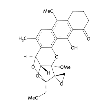 COC[C@]12O[C@@H]3[C@@H](O1)c1c(C)cc4c(OC)c5c(c(O)c4c1O[C@@]3(OC)[C@@]21CO1)C(=O)CCC5